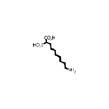 NCCCCCCCCC(C(=O)O)C(=O)O